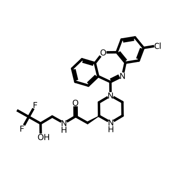 CC(F)(F)C(O)CNC(=O)C[C@H]1CN(C2=Nc3cc(Cl)ccc3Oc3ccccc32)CCN1